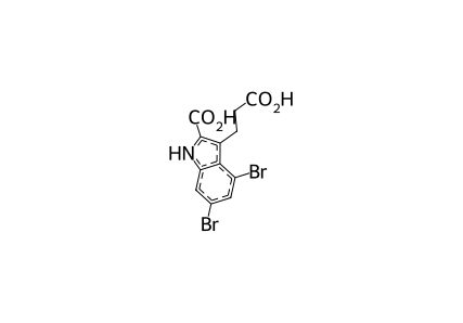 O=C(O)CCc1c(C(=O)O)[nH]c2cc(Br)cc(Br)c12